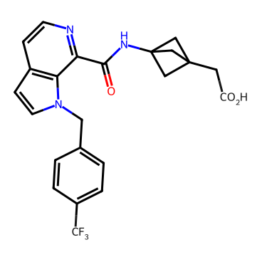 O=C(O)CC12CC(NC(=O)c3nccc4ccn(Cc5ccc(C(F)(F)F)cc5)c34)(C1)C2